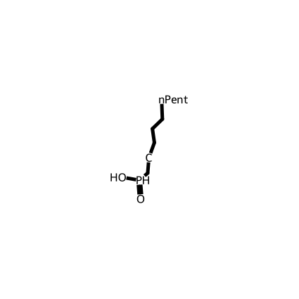 CCCCCCCCCC[PH](=O)O